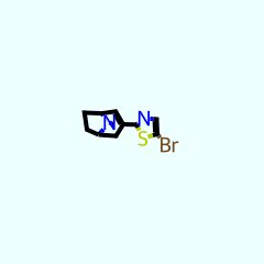 CN1C2C=C(c3ncc(Br)s3)CC1CC2